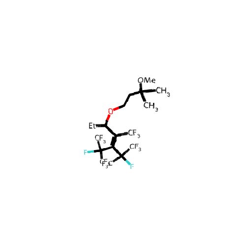 CCC(OCCC(C)(C)OC)C(=C(C(F)(C(F)(F)F)C(F)(F)F)C(F)(C(F)(F)F)C(F)(F)F)C(F)(F)F